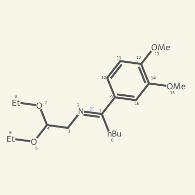 CCCC/C(=N\CC(OCC)OCC)c1ccc(OC)c(OC)c1